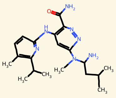 Cc1ccc(Nc2cc(N(C)C(N)CC(C)C)nnc2C(N)=O)nc1C(C)C